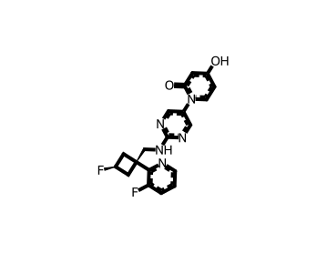 O=c1cc(O)ccn1-c1cnc(NC[C@]2(c3ncccc3F)C[C@H](F)C2)nc1